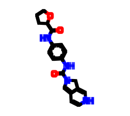 O=C(Nc1ccc(NC(=O)N2C=C3C=CNC=C3C2)cc1)C1CCCO1